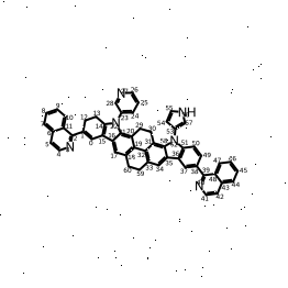 C1=C(c2nccc3ccccc23)CCc2c1c1cc3c4c(c1n2-c1cccnc1)CCc1c-4c(cc2c4cc(-c5nccc6ccccc56)ccc4n(-c4cc[nH]c4)c12)CC3